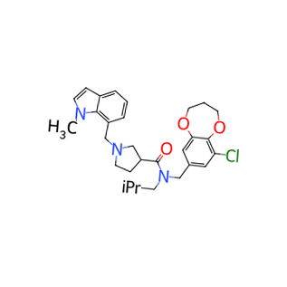 CC(C)CN(Cc1cc(Cl)c2c(c1)OCCCO2)C(=O)C1CCN(Cc2cccc3ccn(C)c23)C1